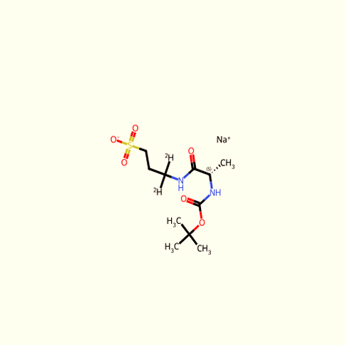 [2H]C([2H])(CCS(=O)(=O)[O-])NC(=O)[C@H](C)NC(=O)OC(C)(C)C.[Na+]